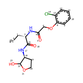 CC(C)C[C@H](NC(=O)COc1ccccc1Cl)C(=O)N[C@H]1CCOC1O